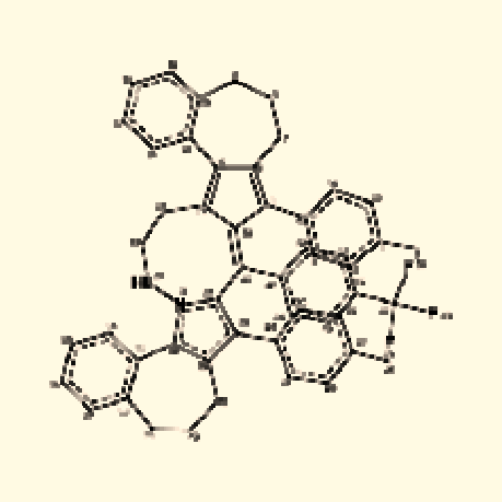 Cc1ccc(C2=C3CCCc4ccccc4C3=C3CCBn4c(c(-c5ccc(C)cc5)c5c4-c4ccccc4CCC5)/C(c4ccc(C(F)(F)F)cc4)=C\32)cc1